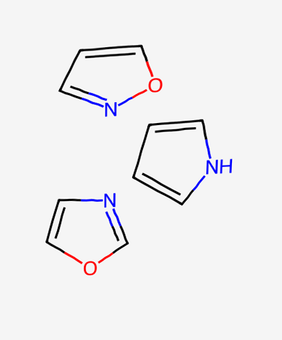 c1cc[nH]c1.c1cnoc1.c1cocn1